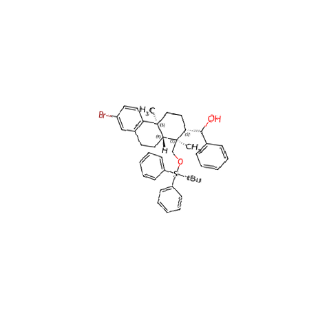 CC(C)(C)[Si](OC[C@]1(C)[C@@H](C(O)c2ccccc2)CC[C@]2(C)c3ccc(Br)cc3CC[C@@H]12)(c1ccccc1)c1ccccc1